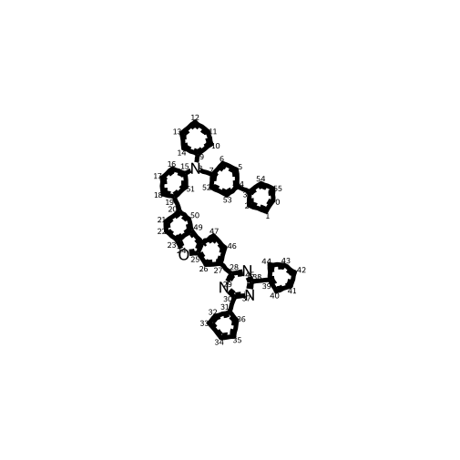 c1ccc(-c2ccc(N(c3ccccc3)c3cccc(-c4ccc5oc6cc(-c7nc(-c8ccccc8)nc(-c8ccccc8)n7)ccc6c5c4)c3)cc2)cc1